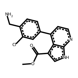 COC(=O)c1c[nH]c2nccc(-c3ccc(CN)c(Cl)c3)c12